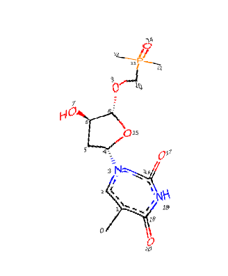 Cc1cn([C@@H]2C[C@@H](O)[C@H](OCP(C)(C)=O)O2)c(=O)[nH]c1=O